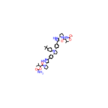 COC(=O)N[C@H](C(=O)N1CCC[C@H]1c1cc(-c2ccc([C@@H]3CC[C@H](c4ccc(-c5cc([C@@H]6CCCN6C(=O)C(OC(N)=O)C(C)C)[nH]n5)cc4)N3c3ccc(C(C)(C)C)cc3)cc2)n[nH]1)C(C)C